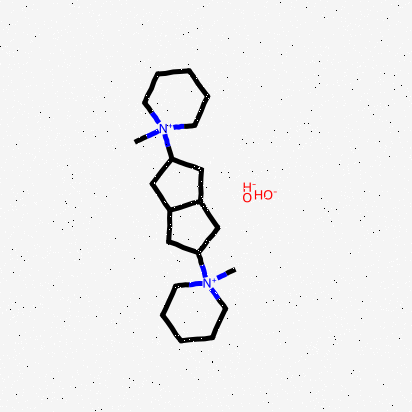 C[N+]1(C2CC3CC([N+]4(C)CCCCC4)CC3C2)CCCCC1.[OH-].[OH-]